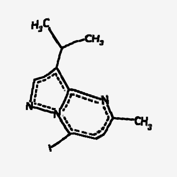 Cc1cc(I)n2ncc(C(C)C)c2n1